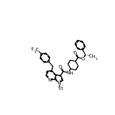 CCn1cc(C(=O)NC2CCC(C(=O)O[C@@H](C)c3ccccc3)CC2)c2c(Cc3ccc(C(F)(F)F)cc3)ccnc21